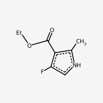 CCOC(=O)c1c(F)c[nH]c1C